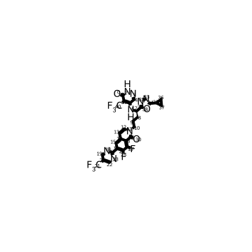 O=c1[nH]ncc(N[C@H](CCCn2ccc3cc(-c4ncc(C(F)(F)F)cn4)c(F)c(F)c3c2=O)c2nnc(C3CC3)o2)c1C(F)(F)F